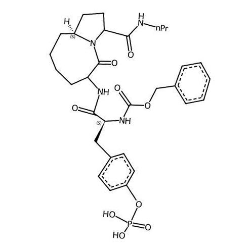 CCCNC(=O)C1CC[C@@H]2CCCCC(NC(=O)[C@H](Cc3ccc(OP(=O)(O)O)cc3)NC(=O)OCc3ccccc3)C(=O)N12